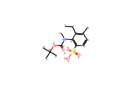 CCc1c(C)ccc(S(=O)(=O)O)c1N(C)C(=O)OC(C)(C)C